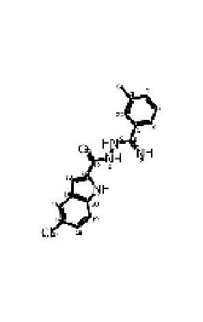 Cc1cccc(C(=N)NNC(=O)c2cc3cc(Cl)ccc3[nH]2)c1